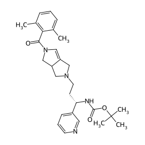 Cc1cccc(C)c1C(=O)N1C=C2CN(CC[C@H](NC(=O)OC(C)(C)C)c3cccnc3)CC2C1